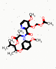 COc1ccc(O[C@@H](C)[C@H](OC(=O)[C@H](C)NC(=O)c2nccc(OC)c2OCOC(C)=O)C(C)C)cc1